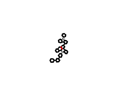 c1ccc(-c2cccc(-c3ccc(N(c4ccccc4-c4cccc(-c5cccc6c5c5ccccc5n6-c5ccccc5)c4)c4cccc5ccccc45)cc3)c2)cc1